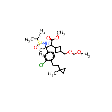 COCOCC1CC(C(C(=O)OC)[C@@](C)(N[S@@+]([O-])C(C)C)c2ccc(CCC3(C)CC3)c(Cl)c2)C1